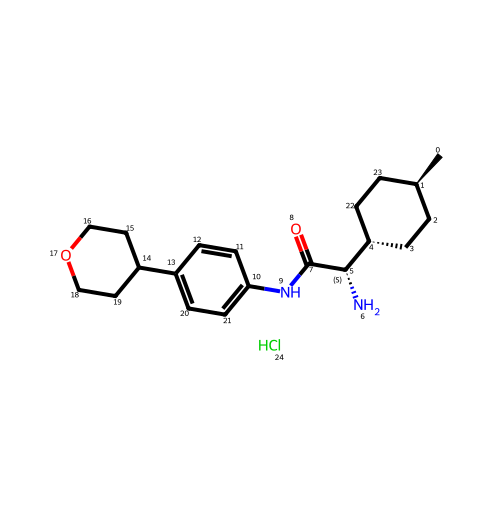 C[C@H]1CC[C@H]([C@H](N)C(=O)Nc2ccc(C3CCOCC3)cc2)CC1.Cl